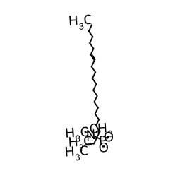 CCCCCCC=CCCCCCCCCCCCCC(CCC)(P(=O)=O)[N+](C)(C)C